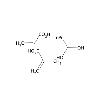 C=C(C)C(=O)O.C=CC(=O)O.CCCC(O)O